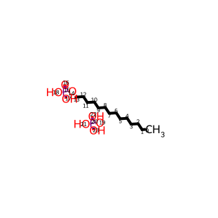 CCCCCCCCCCCCCCOP(=O)(O)O.O=P(O)(O)O